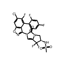 CS(=O)(=O)N[C@@H]1Cn2c(cn(-c3noc4cc(Cl)c(F)c(-c5c(F)cc(F)cc5F)c34)c2=O)C1(F)F